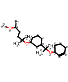 CCC(CCC(C)(C)OC1CCCC(C(C)(C)OC2C=CCCC2)C1)OC(C)C